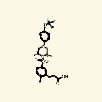 Cc1ccc(S(=O)(=O)N2[C@H](C)CN(c3ccc(OC(F)(F)F)cc3)C[C@@H]2C)cc1CCC(=O)O